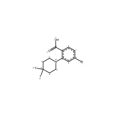 O=C(O)c1ccc(Br)cc1N1CCC(F)(F)CC1